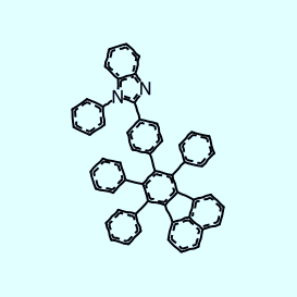 c1ccc(-c2c(-c3ccc(-c4nc5ccccc5n4-c4ccccc4)cc3)c(-c3ccccc3)c3c(c2-c2ccccc2)-c2cccc4cccc-3c24)cc1